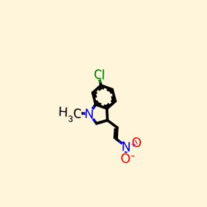 CN1CC(C=C[N+](=O)[O-])c2ccc(Cl)cc21